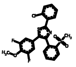 COc1c(F)cc(-c2sc(-c3ccccc3Cl)nc2-c2ccccc2S(C)(=O)=O)cc1F